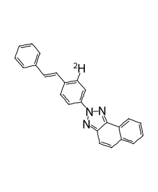 [2H]c1cc(-n2nc3ccc4ccccc4c3n2)ccc1C=Cc1ccccc1